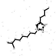 CCCCc1cn(CCCCCCC(C)C)nn1